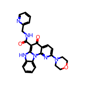 O=C(NCc1ccccn1)c1c(=O)c2ccc(N3CCOCC3)nc2n2c1[nH]c1ccccc12